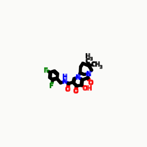 CC1(C)CCC2CN(C1)C(=O)c1c(O)c(=O)c(C(=O)NCc3ccc(F)cc3F)cn12